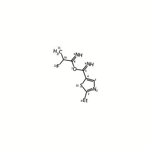 CCc1ncc(C(=N)OC(=N)C(C)F)s1